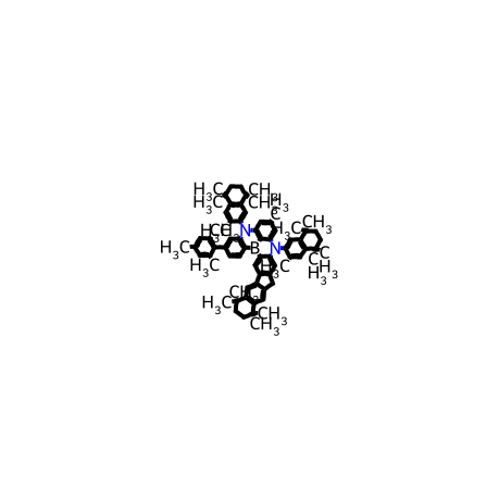 Cc1cc(C)c(-c2ccc3c(c2)N(c2cc4c(cc2C)C(C)(C)CCC4(C)C)c2cc(C)cc4c2B3c2cc3c(cc2N4c2cc4c(cc2C)C(C)(C)CCC4(C)C)Cc2cc4c(cc2-3)C(C)(C)CCC4(C)C)c(C)c1